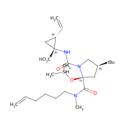 C=CCCCCN(C)C(=O)[C@@]1(O[SiH](C)C)C[C@H](C(C)(C)C)CN1C(=O)N[C@]1(C(=O)O)C[C@@H]1C=C